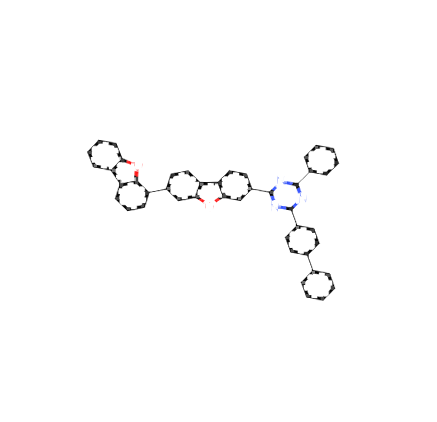 c1ccc(-c2ccc(-c3nc(-c4ccccc4)nc(-c4ccc5c(c4)oc4cc(-c6cccc7c6oc6ccccc67)ccc45)n3)cc2)cc1